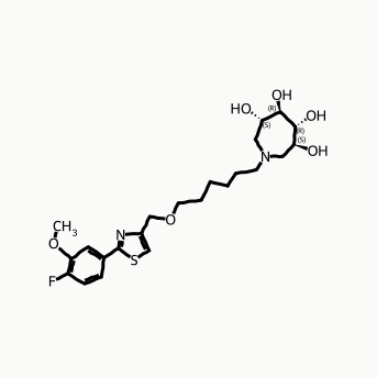 COc1cc(-c2nc(COCCCCCCN3C[C@H](O)[C@@H](O)[C@H](O)[C@@H](O)C3)cs2)ccc1F